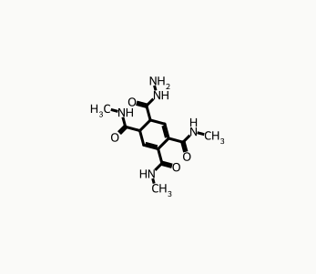 CNC(=O)C1=CC(C(=O)NC)C(C(=O)NN)C=C1C(=O)NC